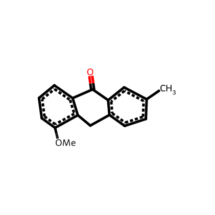 COc1cccc2c1Cc1ccc(C)cc1C2=O